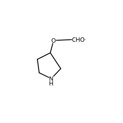 O=[C]OC1CCNC1